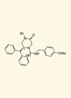 COc1ccc(CNC(=N)N2CC(=O)N(C(C)C)C[C@@H]2C(c2ccccc2)c2ccccc2)cc1